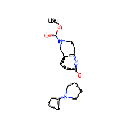 CC(C)(C)OC(=O)N1CCc2nc(O[C@@H]3CCN(C4CCC4)C3)ccc2C1